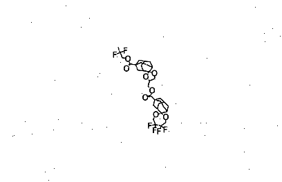 CC(F)(F)COC(=O)C12CC3CC(C1)C1(OCC(COC(=O)C45CC6CC(C4)C4(OCC(F)(F)C(F)(F)CO4)C(C6)C5)O1)C(C3)C2